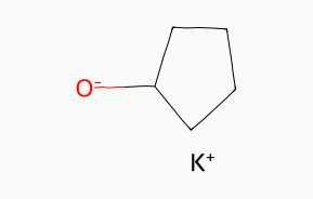 [K+].[O-]C1CCCC1